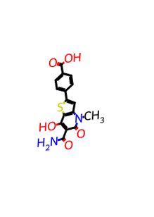 Cn1c(=O)c(C(N)=O)c(O)c2sc(-c3ccc(C(=O)O)cc3)cc21